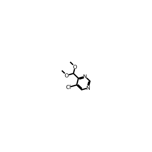 COC(OC)c1ncncc1Cl